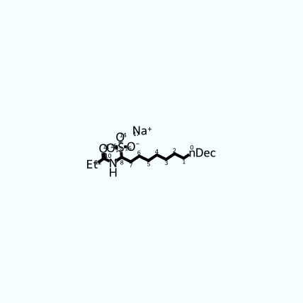 CCCCCCCCCCCCCCCCCC(NC(=O)CC)S(=O)(=O)[O-].[Na+]